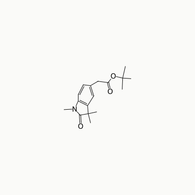 CN1C(=O)C(C)(C)c2cc(CC(=O)OC(C)(C)C)ccc21